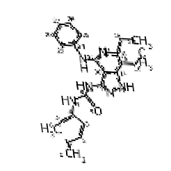 C=C/C=C\C(=C/C)NC(=O)Nc1n[nH]c2c(=C/C)/c(=C\C)nc(Nc3ccccc3)c12